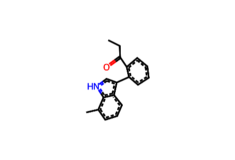 CCC(=O)c1ccccc1-c1c[nH]c2c(C)cccc12